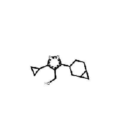 OCc1c(C2CCC3CC3C2)noc1C1CC1